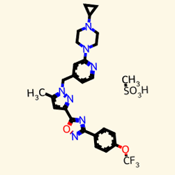 CS(=O)(=O)O.Cc1cc(-c2nc(-c3ccc(OC(F)(F)F)cc3)no2)nn1Cc1ccnc(N2CCN(C3CC3)CC2)c1